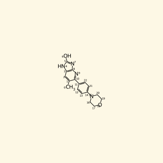 Cc1cc2[nH]c(O)nc2nc1-c1ccc(N2CCOCC2)cc1